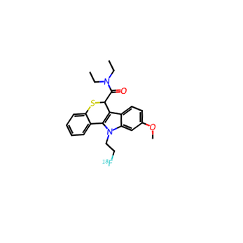 CCN(CC)C(=O)C1Sc2ccccc2-c2c1c1ccc(OC)cc1n2CC[18F]